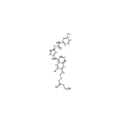 CCN(CCO)CCCOc1cc2ncnc(Nc3cnn(CC(=O)Nc4cccc(F)c4)c3)c2cc1F